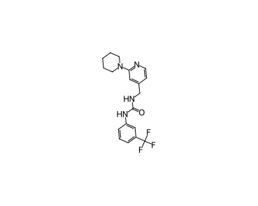 O=C(NCc1ccnc(N2CCCCC2)c1)Nc1cccc(C(F)(F)F)c1